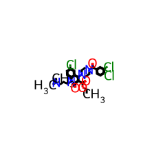 CCOC(=O)c1c(N2CCN(C(=O)c3ccc(Cl)c(Cl)c3)CC2)c2cc(Cl)ccc2n(CCCN(C)C)c1=O